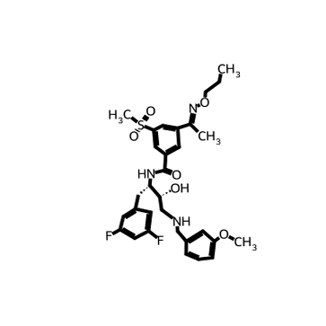 CCCON=C(C)c1cc(C(=O)N[C@@H](Cc2cc(F)cc(F)c2)[C@H](O)CNCc2cccc(OC)c2)cc(S(C)(=O)=O)c1